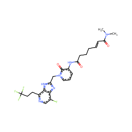 CN(C)C(=O)/C=C/CCCC(=O)Nc1cccn(Cc2nc3c(F)cnc(CCC(F)(F)F)c3[nH]2)c1=O